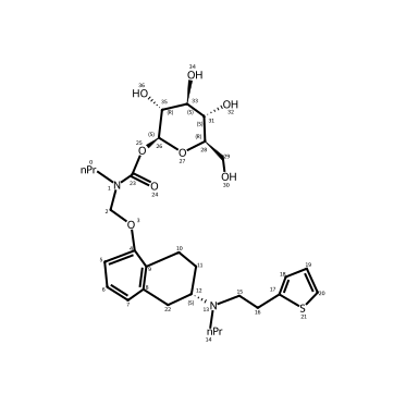 CCCN(COc1cccc2c1CC[C@H](N(CCC)CCc1cccs1)C2)C(=O)O[C@@H]1O[C@H](CO)[C@@H](O)[C@H](O)[C@H]1O